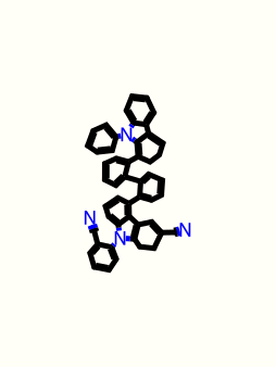 N#CC1=Cc2c(n(-c3ccccc3C#N)c3cccc(-c4ccccc4-c4ccccc4C4=c5c(c6ccccc6n5-c5ccccc5)=CCC4)c23)CC1